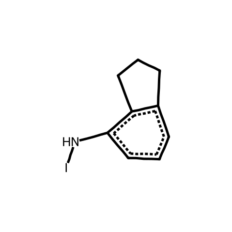 INc1cccc2c1CCC2